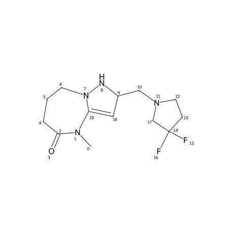 CN1C(=O)CCCN2NC(CN3CCC(F)(F)C3)C=C21